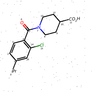 CC(C)c1ccc(C(=O)N2CCC(C(=O)O)CC2)c(Cl)c1